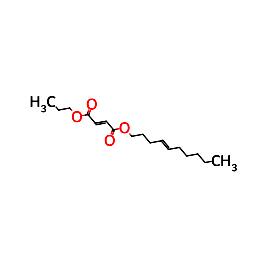 CCCCC/C=C/CCCOC(=O)/C=C/C(=O)OCCC